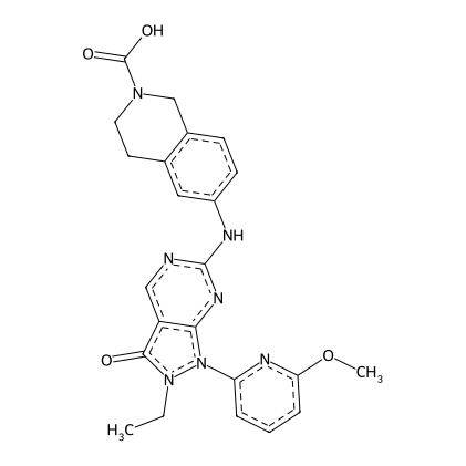 CCn1c(=O)c2cnc(Nc3ccc4c(c3)CCN(C(=O)O)C4)nc2n1-c1cccc(OC)n1